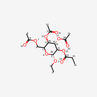 CCO[C@@H]1OC(COC(C)=O)[C@@H](OC(C)=O)[C@H](OC(C)=O)C1OC(=O)CC